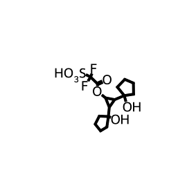 O=C(OC1C(C2(O)CCCC2)C1C1(O)CCCC1)C(F)(F)S(=O)(=O)O